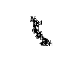 Cc1cc(-c2noc(-c3cn4cc(C(F)(F)F)cc(Cl)c4n3)n2)c(C)cc1OC[C@H]1CO[PH](O)(OC(C)(C)C)O1